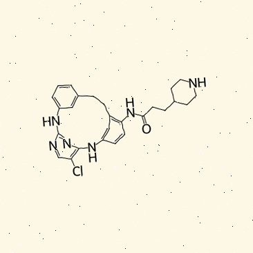 O=C(CCC1CCNCC1)Nc1ccc2cc1CCc1cccc(c1)Nc1ncc(Cl)c(n1)N2